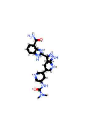 CN(C)C(=O)Nc1cncc(-c2cnc3[nH]nc(-c4nc5c(C(N)=O)cccc5[nH]4)c3c2)c1